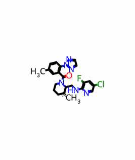 Cc1ccc(-n2nccn2)c(C(=O)N2CCC[C@@H](C)C2CNc2ncc(Cl)cc2F)c1